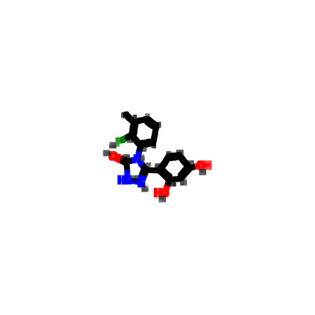 Cc1cccc(-n2c(-c3ccc(O)cc3O)n[nH]c2=O)c1F